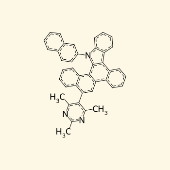 Cc1nc(C)c(-c2cc3c4ccccc4c4c5ccccc5n(-c5ccc6ccccc6c5)c4c3c3ccccc23)c(C)n1